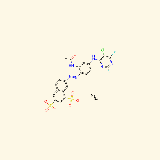 CC(=O)Nc1cc(Nc2nc(F)nc(F)c2Cl)ccc1N=Nc1ccc2cc(S(=O)(=O)[O-])cc(S(=O)(=O)[O-])c2c1.[Na+].[Na+]